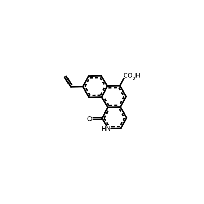 C=Cc1ccc2c(C(=O)O)cc3cc[nH]c(=O)c3c2c1